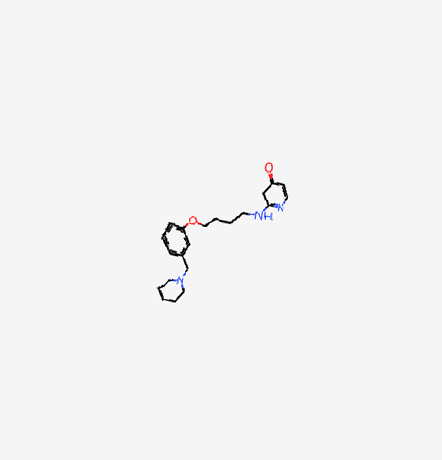 O=C1C=CN=C(NCCCCOc2cccc(CN3CCCCC3)c2)C1